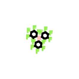 FC1C(F)[C@H](B([C@H]2C(F)C(F)[C@@H](F)C(F)C2F)[C@H]2C(F)C(F)[C@@H](F)C(F)C2F)C(F)C(F)[C@@H]1F